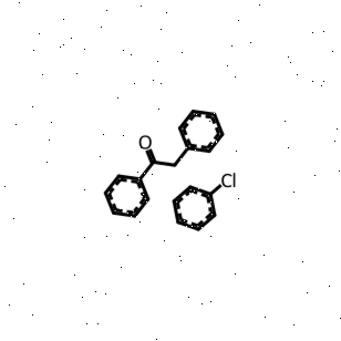 Clc1ccccc1.O=C(Cc1ccccc1)c1ccccc1